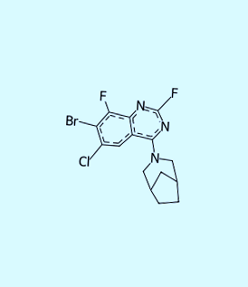 Fc1nc(N2CC3CCC(C3)C2)c2cc(Cl)c(Br)c(F)c2n1